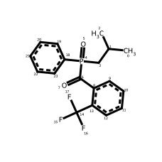 CC(C)CP(=O)(C(=O)c1ccccc1C(F)(F)F)c1ccccc1